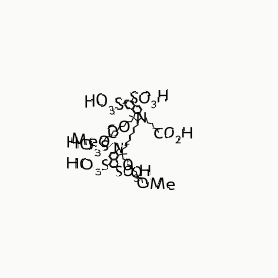 COCCOCCOCCC1(C)C(/C=C/C=C/C=C/C=C2/N(CCCCCC(=O)O)c3ccc4c(S(=O)(=O)O)cc(S(=O)(=O)O)cc4c3C2(C)CCOCCOCCOC)=[N+](CCCS(=O)(=O)O)c2ccc3c(S(=O)(=O)O)cc(S(=O)(=O)O)cc3c21